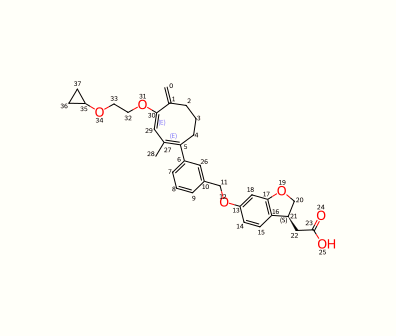 C=C1CCC/C(c2cccc(COc3ccc4c(c3)OC[C@H]4CC(=O)O)c2)=C(C)\C=C/1OCCOC1CC1